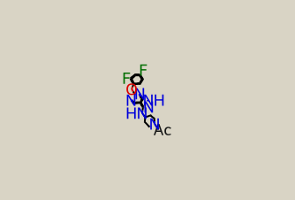 CC(=O)N1CCC(Nc2n[nH]c3nc(Oc4ccc(F)cc4F)ncc23)CC1